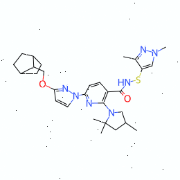 Cc1nn(C)cc1SNC(=O)c1ccc(-n2ccc(OCC3C4CCC3CC4)n2)nc1N1CC(C)CC1(C)C